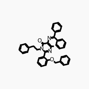 Cc1nc(-c2ccccc2OCc2ccccc2)n(CCc2ccccc2)c(=O)c1N=C(c1ccccc1)c1ccccc1